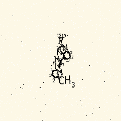 Cc1cccc(-n2cnc(-c3cccc4nc(C5CC5)cnc34)c2)n1